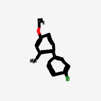 COc1ccc(-c2ccc(Cl)cc2)c(C)c1